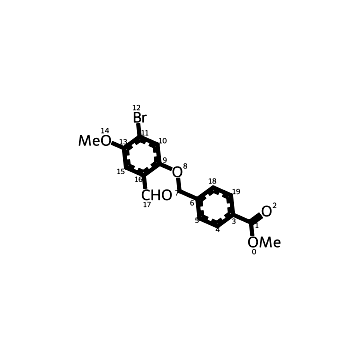 COC(=O)c1ccc(COc2cc(Br)c(OC)cc2C=O)cc1